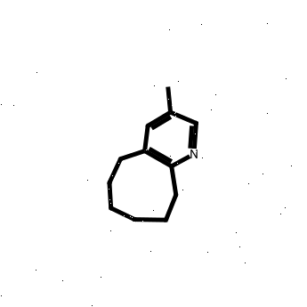 Cc1cnc2c(c1)CCCCCC2